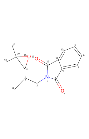 CC(CN1C(=O)c2ccccc2C1=O)C1OC1(C)C